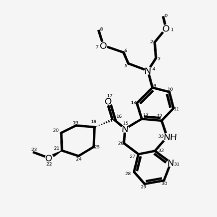 COCCN(CCOC)c1ccc2c(c1)N(C(=O)[C@H]1CC[C@H](OC)CC1)Cc1cccnc1N2